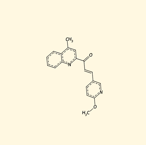 COc1ccc(C=CC(=O)c2cc(C)c3ccccc3n2)cn1